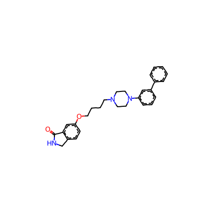 O=C1NCc2ccc(OCCCCN3CCN(c4cccc(-c5ccccc5)c4)CC3)cc21